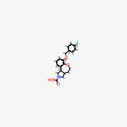 O=C(O)N1CC2CCOc3c(OCc4ccc(F)cc4)cccc3C2C1